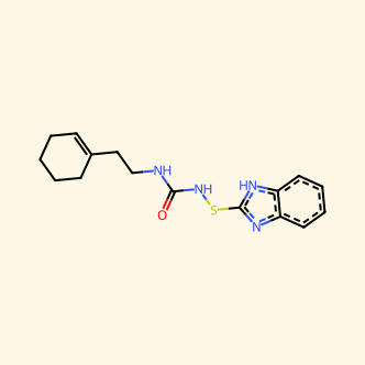 O=C(NCCC1=CCCCC1)NSc1nc2ccccc2[nH]1